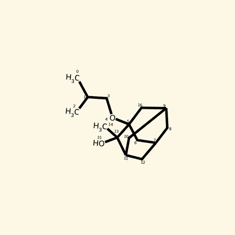 CC(C)COC12CC3CC(CC(C3)C1(C)O)C2